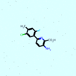 Cc1cc(F)c(-c2ccc(N)c(C(=O)O)n2)cc1Cl